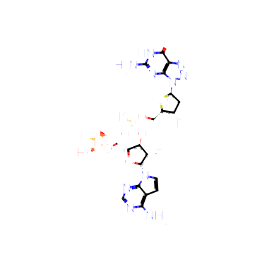 Nc1nc2c(nnn2[C@H]2C[C@H](F)[C@@H](COP(=O)(S)O[C@H]3[C@H](F)[C@H](n4ccc5c(N)ncnc54)O[C@@H]3COP(=O)(O)S)S2)c(=O)[nH]1